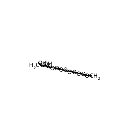 C=CCOCCOCCOCCOCCOCCOCCOCCOCCOCCOCC(O)COCC(=C)O